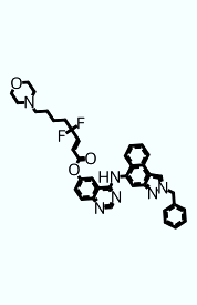 O=C(C=CC(F)(F)CCCCN1CCOCC1)Oc1ccc2ncnc(Nc3cc4nn(Cc5ccccc5)cc4c4ccccc34)c2c1